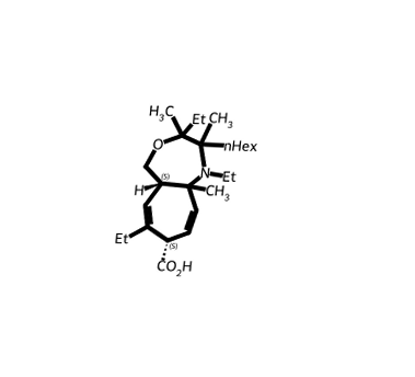 CCCCCCC1(C)N(CC)C2(C)C=C[C@H](C(=O)O)C(CC)=C[C@@H]2COC1(C)CC